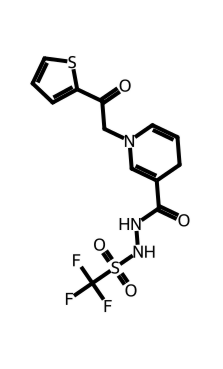 O=C(NNS(=O)(=O)C(F)(F)F)C1=CN(CC(=O)c2cccs2)C=CC1